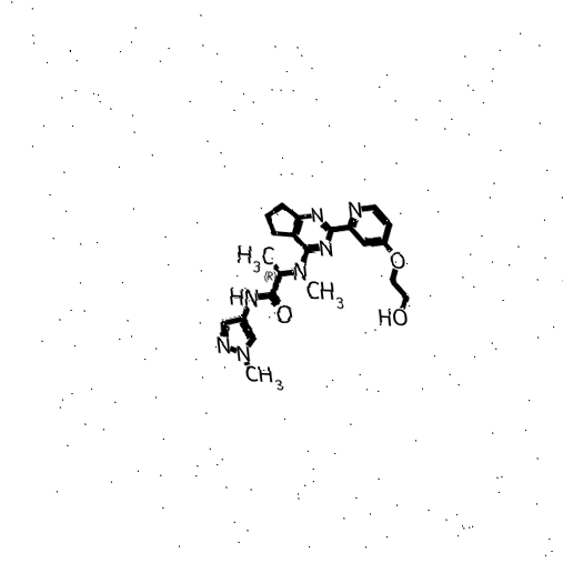 C[C@H](C(=O)Nc1cnn(C)c1)N(C)c1nc(-c2cc(OCCO)ccn2)nc2c1CCC2